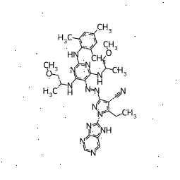 CCc1c(C#N)c(N=Nc2c(NC(C)COC)nc(Nc3c(C)cc(C)cc3C)nc2NC(C)COC)nn1-c1nc2ncncc2[nH]1